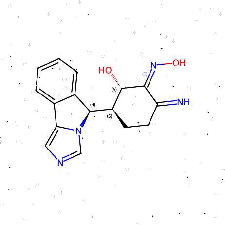 N=C1CC[C@@H]([C@@H]2c3ccccc3-c3cncn32)[C@H](O)/C1=N/O